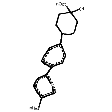 CCCCCCCCC1(C#N)CCC(c2ccc(-c3ccc(CCCCCC)cc3)cc2)CC1